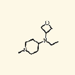 CCN(C1CCN(C)CC1)C1COC1